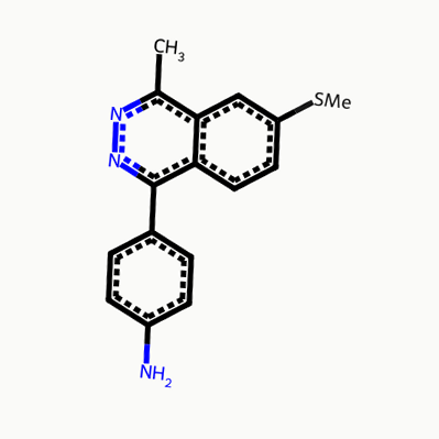 CSc1ccc2c(-c3ccc(N)cc3)nnc(C)c2c1